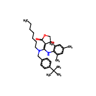 CCCCCCCN(Cc1ccc(C(C)(C)C)cc1)C(Nc1c(C)cc(C)cc1C)=C1C(=O)COC1=O